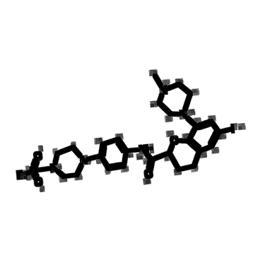 CCS(=O)(=O)N1CCN(c2ccc(NC(=O)C3CCc4cc(F)cc(N5CCN(C)CC5)c4O3)cc2)CC1